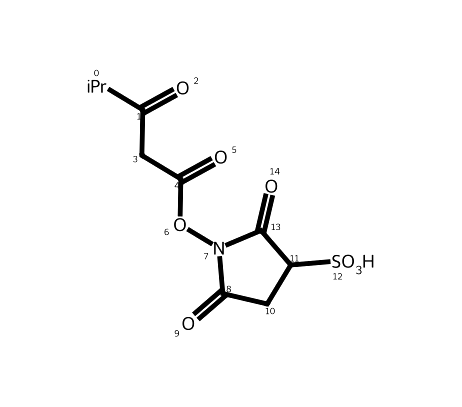 CC(C)C(=O)CC(=O)ON1C(=O)CC(S(=O)(=O)O)C1=O